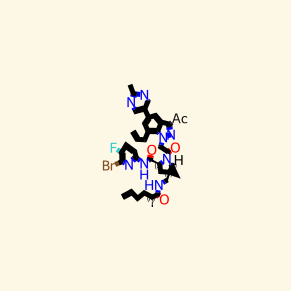 C=CCC[C@@H](C)C(=O)NC[C@@]12C[C@@H](C(=O)Nc3ccc(F)c(Br)n3)N(C(=O)Cn3nc(C(C)=O)c4cc(-c5cnc(C)nc5)cc(CC=C)c43)[C@@H]1C2